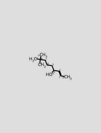 CC=CC(O)CCCC(C)(C)C